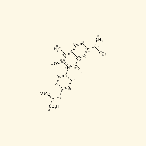 CN[C@@H](Cc1ccc(-n2c(=O)c3cc(N(C)C)ccc3n(C)c2=O)cc1)C(=O)O